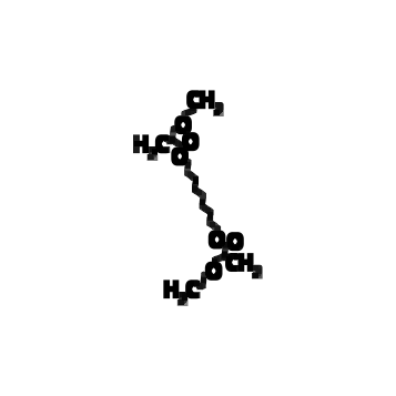 C=CCOCC(=C)C(=O)OCCCCCCCCCOC(=O)C(=C)COCC=C